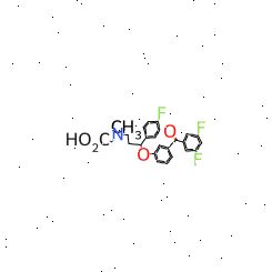 CN(CCC(Oc1cccc(C(=O)c2cc(F)cc(F)c2)c1)c1ccc(F)cc1)CC(=O)O